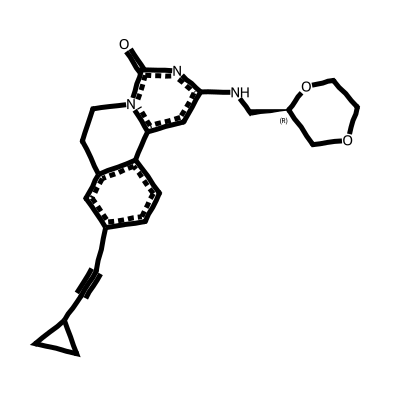 O=c1nc(NC[C@@H]2COCCO2)cc2n1CCc1cc(C#CC3CC3)ccc1-2